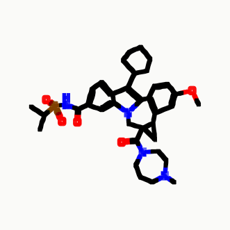 COc1ccc2c(c1)C1CC1(C(=O)N1CCCN(C)CC1)Cn1c-2c(C2CCCCC2)c2ccc(C(=O)NS(=O)(=O)C(C)C)cc21